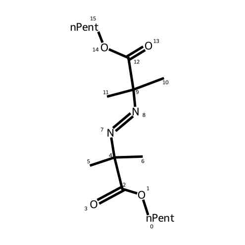 CCCCCOC(=O)C(C)(C)/N=N/C(C)(C)C(=O)OCCCCC